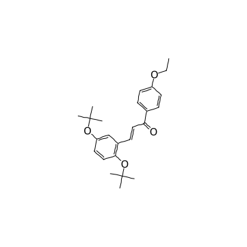 CCOc1ccc(C(=O)C=Cc2cc(OC(C)(C)C)ccc2OC(C)(C)C)cc1